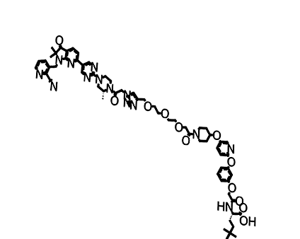 C[C@@H]1CN(c2ncc(-c3ccc4c(n3)N(Cc3cccnc3C#N)C(C)(C)C4=O)cn2)CCN1C(=O)Cn1cc(COCCOCCOCC(=O)N2CCC(Oc3ccc(Oc4cccc(OCC(=O)N[C@@H](CCC(C)(C)C)C(=O)O)c4)nc3)CC2)nn1